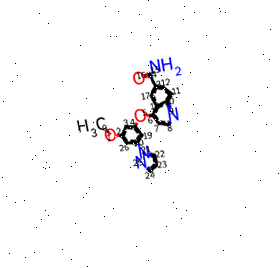 COc1cc(Oc2ccnc3ccc(C(N)=O)cc23)cc(-n2cccn2)c1